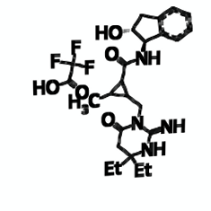 CCC1(CC)CC(=O)N(CC2C(C)C2C(=O)N[C@@H]2c3ccccc3C[C@H]2O)C(=N)N1.O=C(O)C(F)(F)F